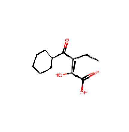 CCC(C(=O)C1CCCCC1)=C(O)C(=O)O